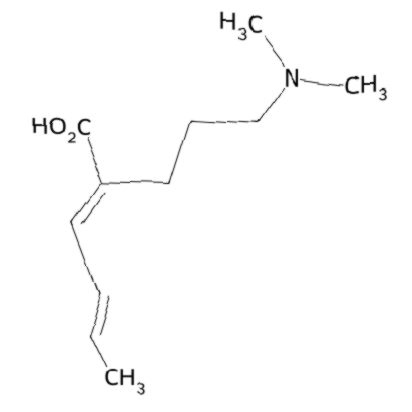 C/C=C/C=C(\CCCN(C)C)C(=O)O